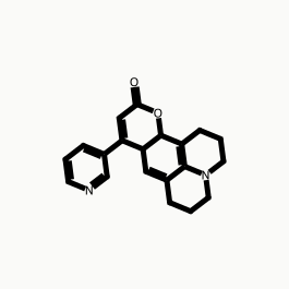 O=C1C=C(c2cccnc2)C2C=C3CCCN4CCCC(=C34)C2O1